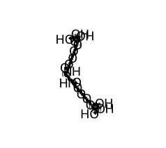 C[C@H](CCCCNC(=O)COCCOCCOCCO[C@@H]1C[C@H](CO)[C@H](O)[C@H](O)C1)NC(=O)COCCOCCOCCO[C@H]1C[C@@H](O)[C@@H](O)[C@@H](CO)O1